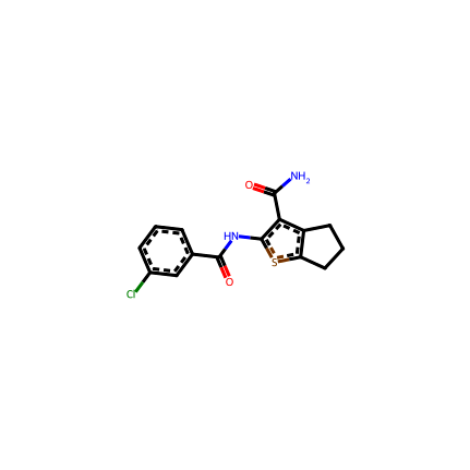 NC(=O)c1c(NC(=O)c2cccc(Cl)c2)sc2c1CCC2